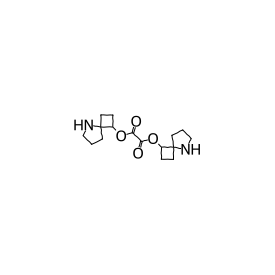 O=C(OC1CCC12CCCN2)C(=O)OC1CCC12CCCN2